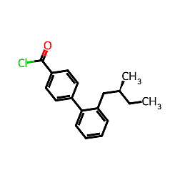 CC[C@H](C)Cc1ccccc1-c1ccc(C(=O)Cl)cc1